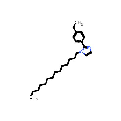 CCCCCCCCCCCCCCn1ccnc1-c1ccc(CC)cc1